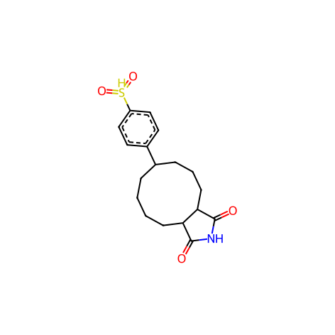 O=C1NC(=O)C2CCCC(c3ccc([SH](=O)=O)cc3)CCCCC12